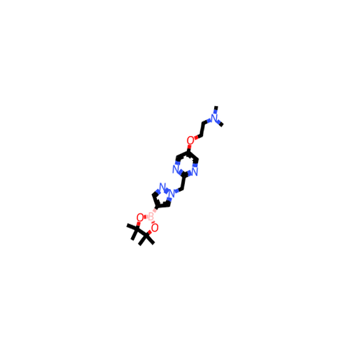 CN(C)CCOc1cnc(Cn2cc(B3OC(C)(C)C(C)(C)O3)cn2)nc1